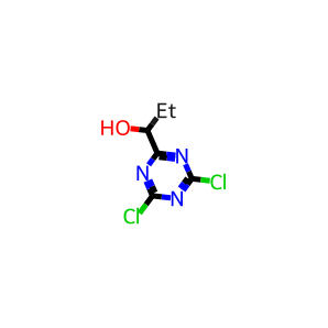 CCC(O)c1nc(Cl)nc(Cl)n1